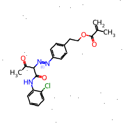 C=C(C)C(=O)OCCc1ccc(/N=N/C(C(C)=O)C(=O)Nc2ccccc2Cl)cc1